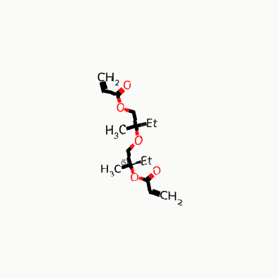 C=CC(=O)OCC(C)(CC)OC[C@](C)(CC)OC(=O)C=C